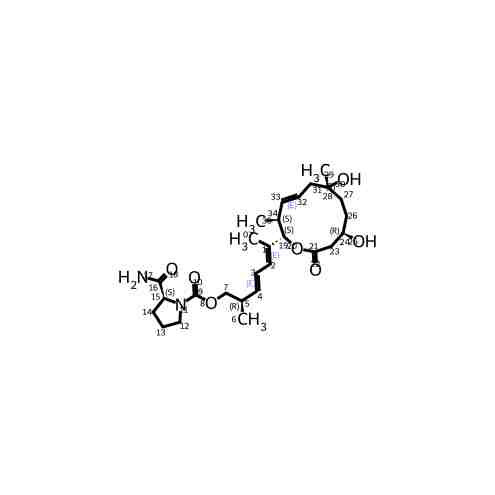 C/C(=C\C=C\[C@@H](C)COC(=O)N1CCC[C@H]1C(N)=O)[C@H]1OC(=O)C[C@H](O)CC[C@@](C)(O)C/C=C/[C@@H]1C